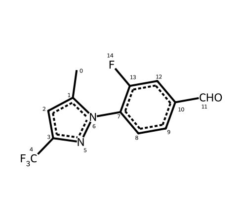 Cc1cc(C(F)(F)F)nn1-c1ccc(C=O)cc1F